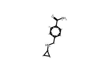 NC(=O)c1ccc(CNC2CC2)cc1